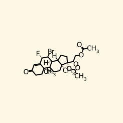 CC(=O)OCC(=O)[C@]1(OC(C)=O)CC[C@H]2[C@@H]3[C@H](Br)[C@@H](F)C4=CC(=O)CC[C@]4(C)[C@H]3CC[C@@]21C